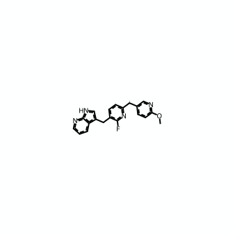 COc1ccc([CH]c2ccc(Cc3c[nH]c4ncccc34)c(F)n2)cn1